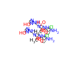 COC1CN(CCCNc2nccc(O)n2)CCC1NC(=O)c1cc(Cl)c(N)c2c1OCCC2.COC1CN(CCCNc2nccc(O)n2)CCC1NC(=O)c1cc(Cl)c(N)c2c1OCCC2.O